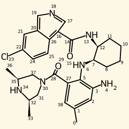 Cc1cc(N)c(N[C@@H]2CCCC[C@@H]2NC(=O)c2cncc3cc(Cl)ccc23)c(C(=O)N2C[C@@H](C)N[C@@H](C)C2)c1